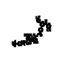 Cc1ncsc1-c1ccc([C@H](C)NC(=O)[C@@H]2C[C@@H](O)CN2C(=O)[C@@H](NC(=O)[C@@H](N)CCC(=O)N2CCC(c3cc(Nc4cc(C#N)ccn4)nc(N4CCC(F)(F)C4)c3)CC2)C(C)(C)C)cc1